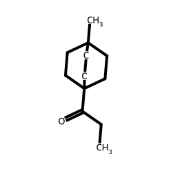 CCC(=O)C12CCC(C)(CC1)CC2